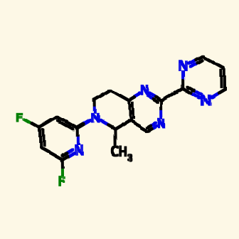 CC1c2cnc(-c3ncccn3)nc2CCN1c1cc(F)cc(F)n1